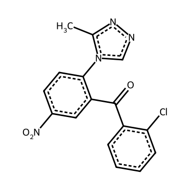 Cc1nncn1-c1ccc([N+](=O)[O-])cc1C(=O)c1ccccc1Cl